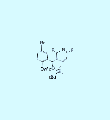 COc1ccc(Br)cc1C(O[Si](C)(C)C(C)(C)C)c1ccc(F)nc1F